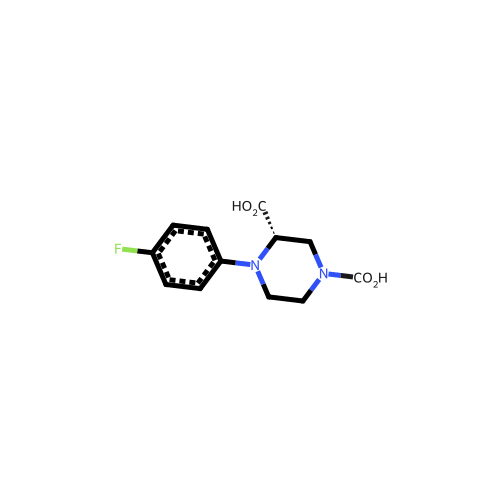 O=C(O)[C@@H]1CN(C(=O)O)CCN1c1ccc(F)cc1